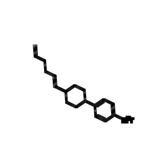 C=CCCC=CC1CCC(c2ccc(CCC)cc2)CC1